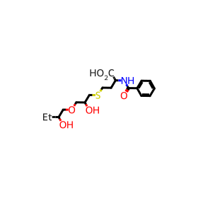 CCC(O)COCC(O)CSCCC(NC(=O)c1ccccc1)C(=O)O